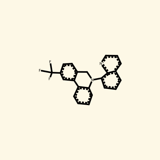 FC(F)(F)c1ccc2c(c1)-c1ccccc1N(c1cccc3cccnc13)C2